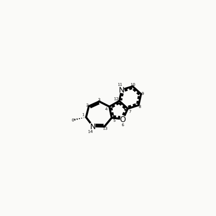 C[C@@H]1C=Cc2c(oc3cccnc23)C=N1